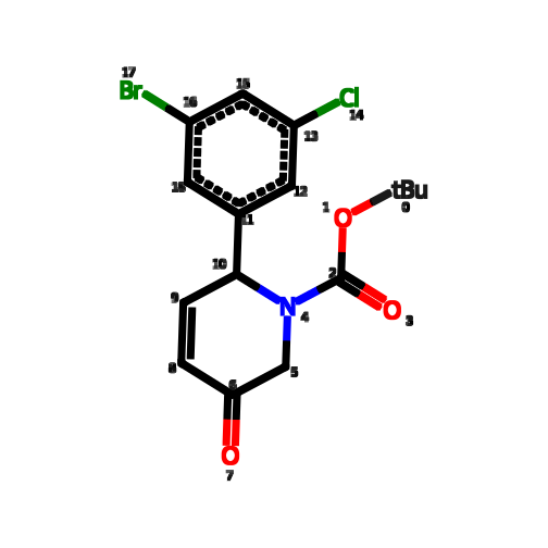 CC(C)(C)OC(=O)N1CC(=O)C=CC1c1cc(Cl)cc(Br)c1